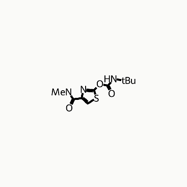 CNC(=O)c1csc(OC(=O)NC(C)(C)C)n1